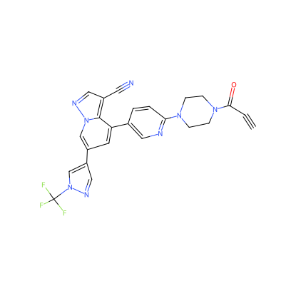 C#CC(=O)N1CCN(c2ccc(-c3cc(-c4cnn(C(F)(F)F)c4)cn4ncc(C#N)c34)cn2)CC1